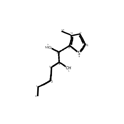 CCCCC(O)C(O)c1sccc1C